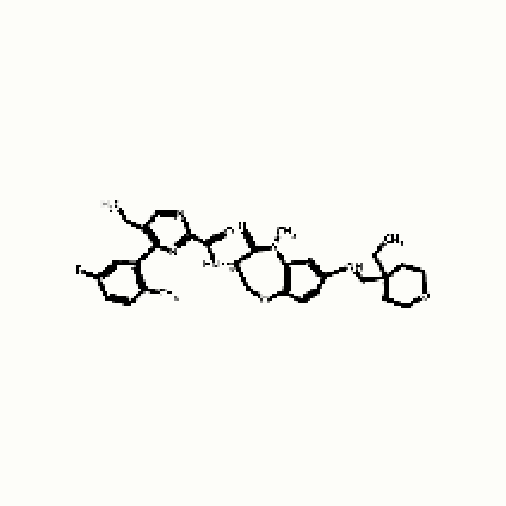 CCc1cnc(C(=O)N[C@H]2COc3ccc(NCC4(CC)CCOCC4)cc3N(C)C2=O)nc1-c1cc(F)ccc1C